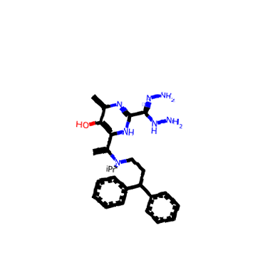 C=C1N=C(/C(=N/N)NN)NC(C(=C)N(CCC(c2ccccc2)c2ccccc2)C(C)C)=C1O